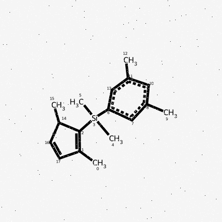 CC1=C([Si](C)(C)c2cc(C)cc(C)c2)C(C)C=C1